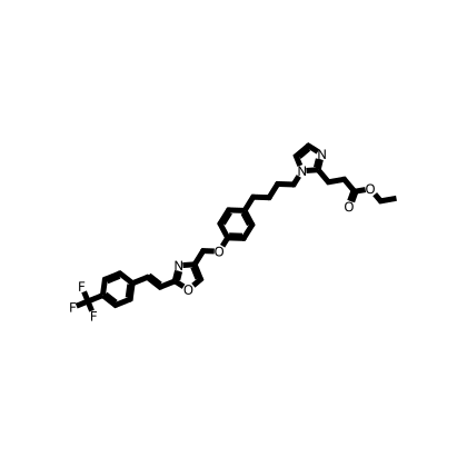 CCOC(=O)CCc1nccn1CCCCc1ccc(OCc2coc(C=Cc3ccc(C(F)(F)F)cc3)n2)cc1